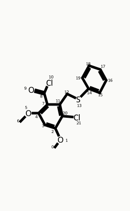 COc1cc(OC)c(C(=O)Cl)c(CSc2ccccc2)c1Cl